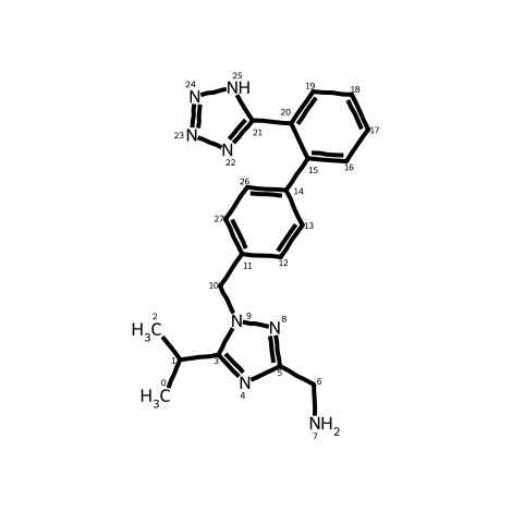 CC(C)c1nc(CN)nn1Cc1ccc(-c2ccccc2-c2nnn[nH]2)cc1